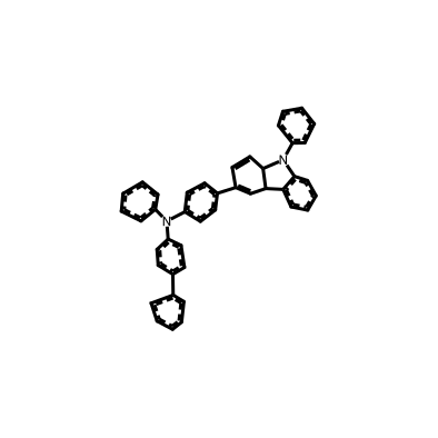 C1=CC2C(C=C1c1ccc(N(c3ccccc3)c3ccc(-c4ccccc4)cc3)cc1)c1ccccc1N2c1ccccc1